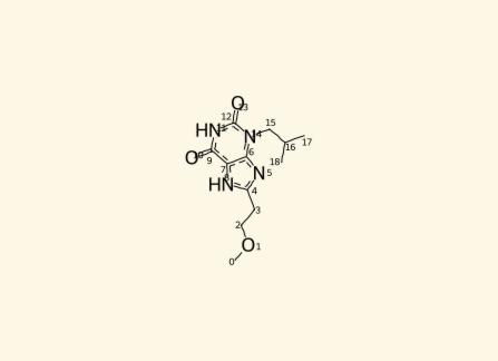 COCCc1nc2c([nH]1)c(=O)[nH]c(=O)n2CC(C)C